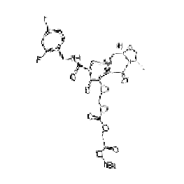 CCCCOC(=O)COC(=O)OCOc1c2n(cc(C(=O)NCc3ccc(F)cc3F)c1=O)C[C@H]1OC[C@H](C)N1C2=O